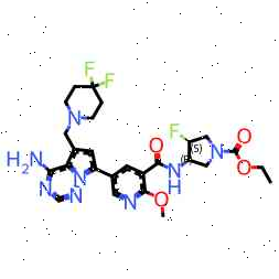 CCOC(=O)N1C[C@H](F)[C@H](NC(=O)c2cc(-c3cc(CN4CCC(F)(F)CC4)c4c(N)ncnn34)cnc2OC)C1